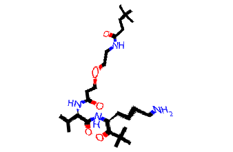 CC(C)[C@H](NC(=O)CCOCCNC(=O)CCC(C)(C)C)C(=O)N[C@@H](CCCCN)C(=O)C(C)(C)C